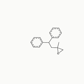 CC1(CC(c2ccccc2)c2ccccc2)CO1